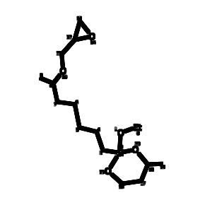 CCO[Si]1(CCCCCC(C)OCC2CO2)OCCC(C)O1